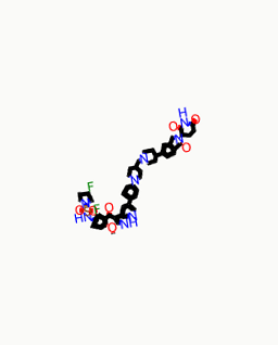 COc1ccc(NS(=O)(=O)N2CC[C@@H](F)C2)c(F)c1C(=O)c1c[nH]c2ncc(-c3ccc(N4CCC(CN5CCC(c6ccc7c(c6)CN([C@H]6CCC(=O)NC6=O)C7=O)CC5)CC4)cc3)cc12